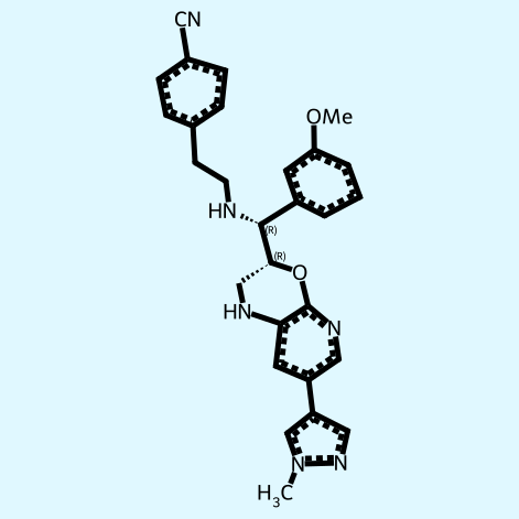 COc1cccc([C@@H](NCCc2ccc(C#N)cc2)[C@H]2CNc3cc(-c4cnn(C)c4)cnc3O2)c1